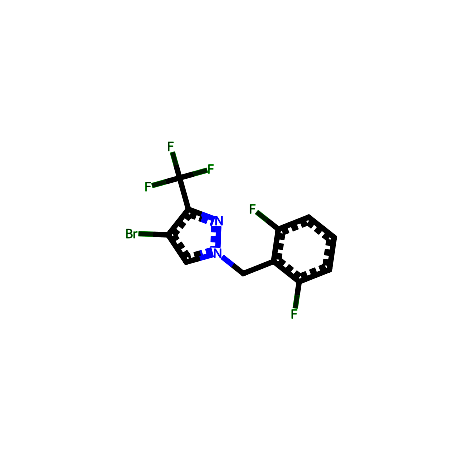 Fc1cccc(F)c1Cn1cc(Br)c(C(F)(F)F)n1